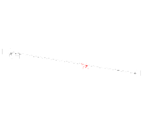 CCCCCCCCC=CCCCCCCCCCCCCCC(=O)OCCCCCCCCCCCCCCCCCCCCCCCCCCCCCCCCC(C)C